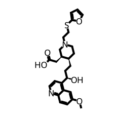 COc1ccc2nccc([C@H](O)CC[C@@H]3CCN(CCSc4ccco4)C[C@@H]3CC(=O)O)c2c1